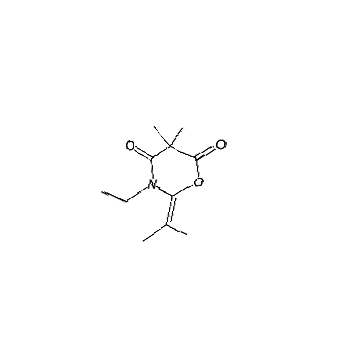 CCN1C(=O)C(C)(C)C(=O)OC1=C(C)C